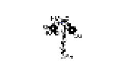 CN/C(=N\Nc1cc(Cl)c(O)c(Cl)c1)C(=O)N(CCOCCOCCOCCOC)Cc1ccc(C(C)(C)C)cc1